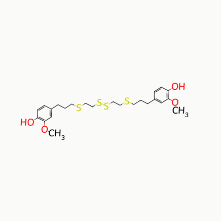 COc1cc(CCCSCCSSCCSCCCc2ccc(O)c(OC)c2)ccc1O